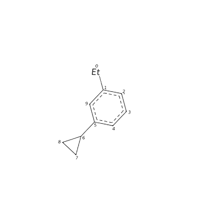 CCc1[c]ccc(C2CC2)c1